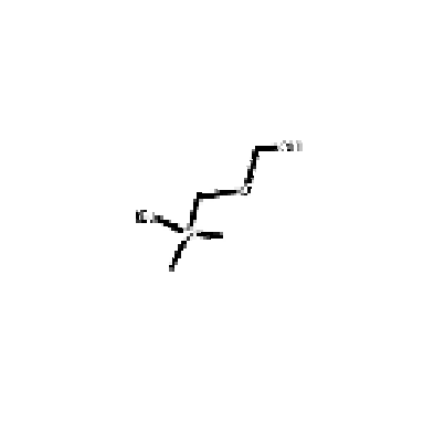 CC(C)(C)[Si](C)(C)COCO